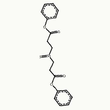 O=C(C[CH2][Sn](=[S])[CH2]CC(=O)Oc1ccccc1)Oc1ccccc1